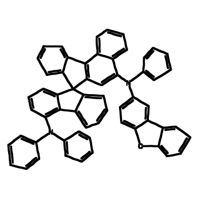 c1ccc(N(c2ccccc2)c2cccc3c2-c2ccccc2C32c3ccccc3-c3c2cc(N(c2ccccc2)c2ccc4oc5ccccc5c4c2)c2ccccc32)cc1